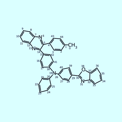 Cc1ccc(-c2nc3ccccc3nc2-c2ccc(N(c3ccccc3)c3ccc(-c4nc5ccccc5o4)cc3)cc2)cc1